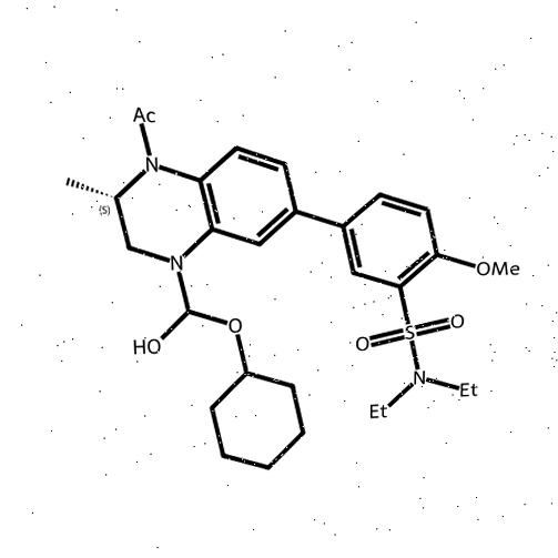 CCN(CC)S(=O)(=O)c1cc(-c2ccc3c(c2)N(C(O)OC2CCCCC2)C[C@H](C)N3C(C)=O)ccc1OC